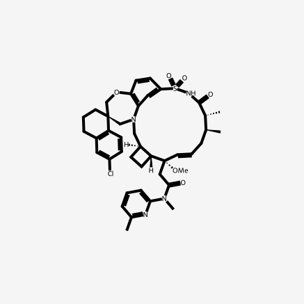 CO[C@@]1(CC(=O)N(C)c2cccc(C)n2)/C=C/C[C@H](C)[C@@H](C)C(=O)NS(=O)(=O)c2ccc3c(c2)N(C[C@@H]2CC[C@H]21)C[C@@]1(CCCc2cc(Cl)ccc21)CO3